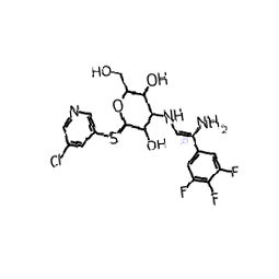 N/C(=C\NC1C(O)C(CO)OC(Sc2cncc(Cl)c2)C1O)c1cc(F)c(F)c(F)c1